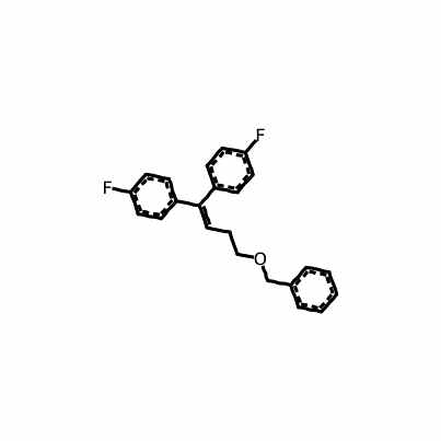 Fc1ccc(C(=CCCOCc2ccccc2)c2ccc(F)cc2)cc1